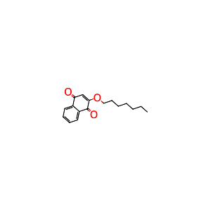 CCCCCCCOC1=CC(=O)c2ccccc2C1=O